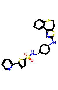 O=S(=O)(NC[C@H]1CC[C@H](Nc2nc3c(s2)CCSc2ccccc2-3)CC1)c1ccc(-c2ccccn2)s1